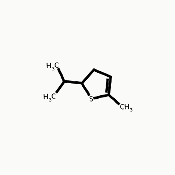 CC1=CCC(C(C)C)S1